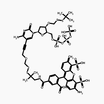 C=c1ccc2c(c1S(=O)(=O)O)Oc1c(ccc(N)c1S(=O)(=O)O)C=2c1ccc(C(=O)NCC(C)(C)SSCOCC#Cc2cn([C@H]3C[C@@H](OCSSC(C)(C)C)[C@@H](COP(=O)(O)OP(=O)(O)OP(=O)(O)O)O3)c(=O)nc2N)cc1C(=O)O